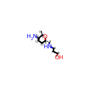 C[C@H]1O[C@H](CNCCCO)CC[C@H]1N